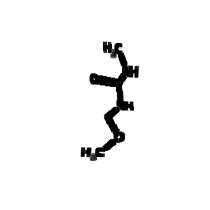 CNC(=O)NCOC